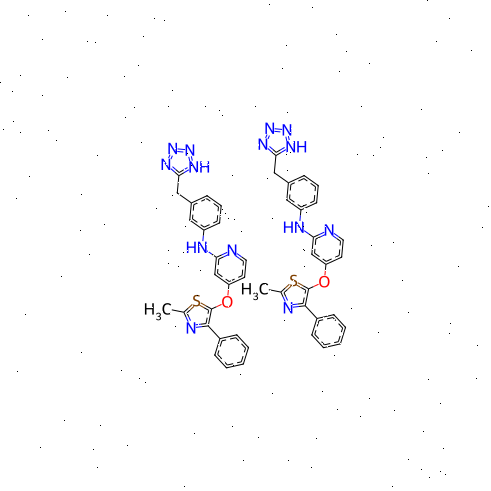 Cc1nc(-c2ccccc2)c(Oc2ccnc(Nc3cccc(Cc4nnn[nH]4)c3)c2)s1.Cc1nc(-c2ccccc2)c(Oc2ccnc(Nc3cccc(Cc4nnn[nH]4)c3)c2)s1